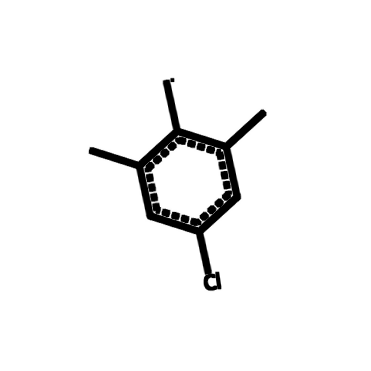 [CH2]c1c(C)cc(Cl)cc1C